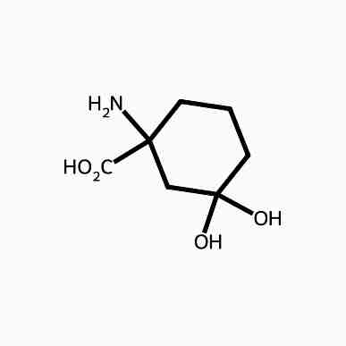 NC1(C(=O)O)CCCC(O)(O)C1